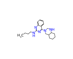 CCCCNc1nc(N2CNC3CCCCC3C2)c2ccccc2n1